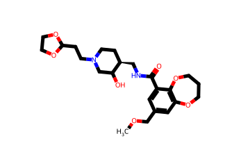 COCc1cc2c(c(C(=O)NC[C@@H]3CCN(CCC4OCCO4)CC3O)c1)OCCCO2